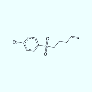 C=CCCCS(=O)(=O)c1ccc(CC)cc1